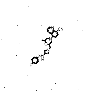 CC1CN(c2ccc(C#N)c3ncccc23)CC(CN2CC(NSc3ccc(F)cc3)C2)O1